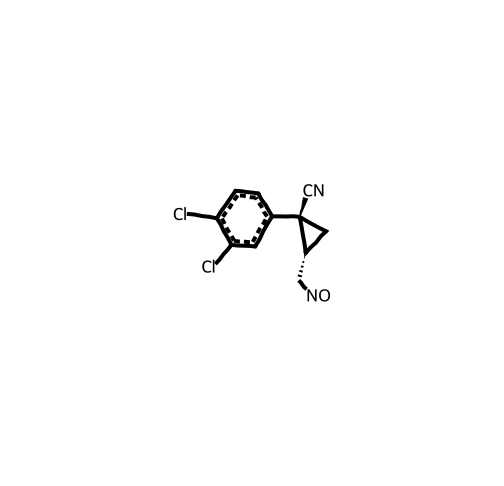 N#C[C@@]1(c2ccc(Cl)c(Cl)c2)C[C@@H]1CN=O